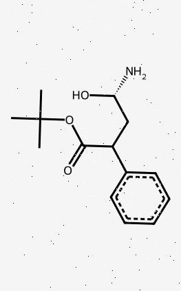 CC(C)(C)OC(=O)C(C[C@@H](N)O)c1ccccc1